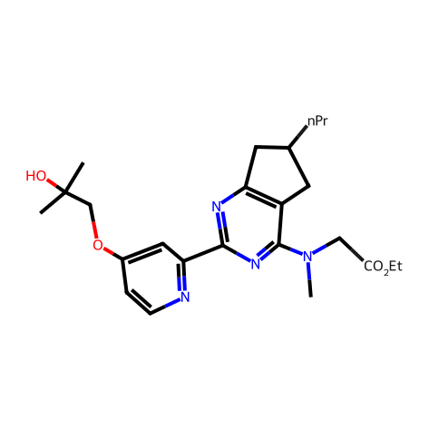 CCCC1Cc2nc(-c3cc(OCC(C)(C)O)ccn3)nc(N(C)CC(=O)OCC)c2C1